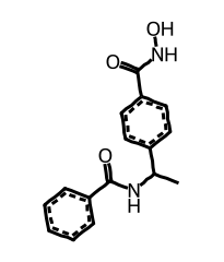 CC(NC(=O)c1ccccc1)c1ccc(C(=O)NO)cc1